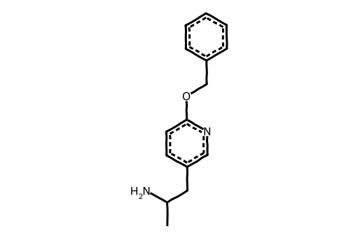 CC(N)Cc1ccc(OCc2ccccc2)nc1